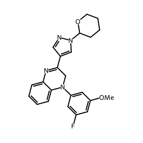 COc1cc(F)cc(N2CC(c3cnn(C4CCCCO4)c3)=Nc3ccccc32)c1